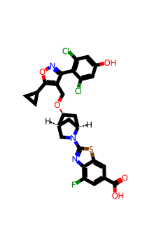 O=C(O)c1cc(F)c2nc(N3C[C@@H]4C[C@H]3C[C@H]4OCc3c(-c4c(Cl)cc(O)cc4Cl)noc3C3CC3)sc2c1